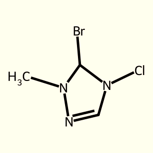 CN1N=CN(Cl)C1Br